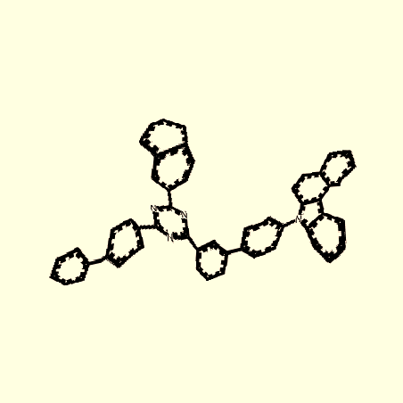 c1ccc(-c2ccc(-c3nc(-c4cccc(-c5ccc(-n6c7ccccc7c7c8ccccc8ccc76)cc5)c4)nc(-c4ccc5ccccc5c4)n3)cc2)cc1